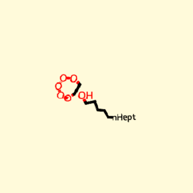 C1COOOOO1.CCCCCCCCCCCCO